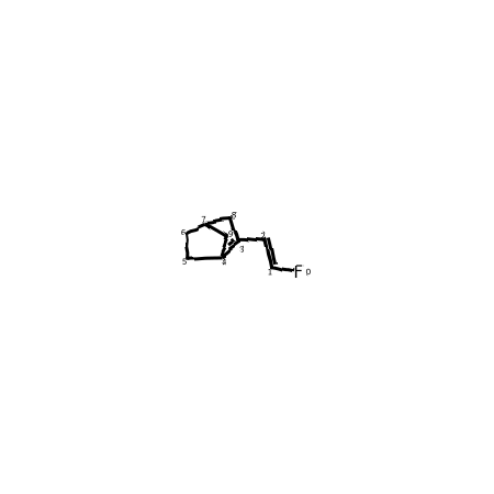 FC=CC1=C2CCC(C1)C2